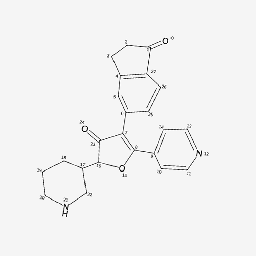 O=C1CCc2cc(C3=C(c4ccncc4)OC(C4CCCNC4)C3=O)ccc21